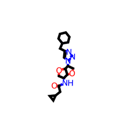 O=C(CC1CC1)NC1COC2C1OCC2n1cc(CC2CCCCC2)nn1